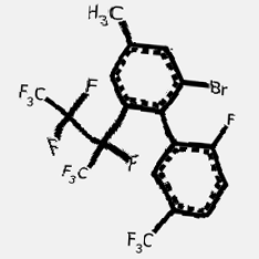 Cc1[c]c(Br)c(-c2cc(C(F)(F)F)ccc2F)c(C(F)(C(F)(F)F)C(F)(F)C(F)(F)F)c1